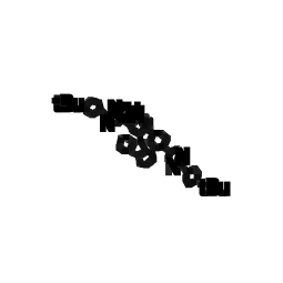 C=C(/C=N\C(=N/C)c1ccc(C(C)(C)C)cc1)c1ccc2c(c1)C1(c3ccccc3-c3ccccc31)c1cc(-c3cnc(-c4ccc(C(C)(C)C)cc4)nc3)ccc1-2